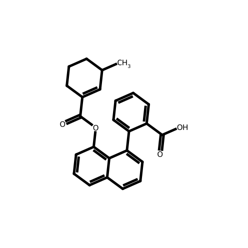 CC1C=C(C(=O)Oc2cccc3cccc(-c4ccccc4C(=O)O)c23)CCC1